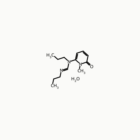 CCCN=CN(CCC)c1cccc(=O)n1C.O